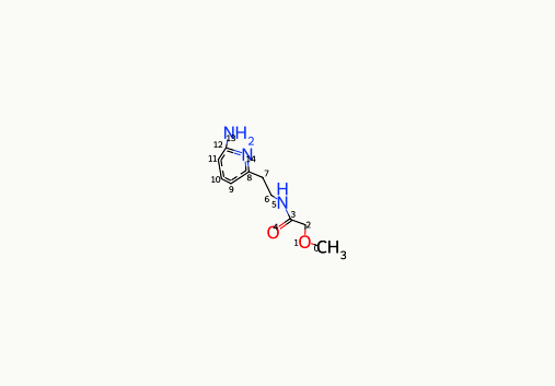 COCC(=O)NCCc1cccc(N)n1